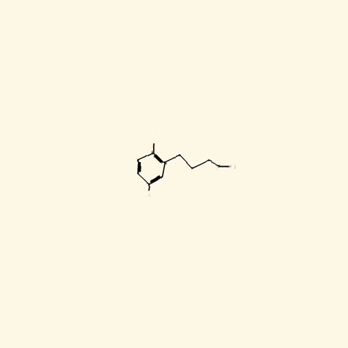 CC(C)c1ccc(F)c(CCCCN)c1